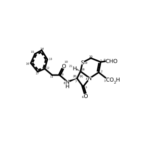 O=CC1=C(C(=O)O)N2C(=O)[C@@H](NC(=O)Cc3ccccc3)[C@H]2SC1